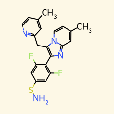 Cc1ccnc(Cc2c(-c3c(F)cc(SN)cc3F)nc3cc(C)ccn23)c1